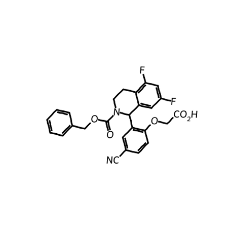 N#Cc1ccc(OCC(=O)O)c(C2c3cc(F)cc(F)c3CCN2C(=O)OCc2ccccc2)c1